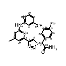 Cc1cc(Nc2cc(C(F)(F)F)ccn2)nc(-c2cn(C(C(N)=O)c3ccc(F)cc3)nn2)c1